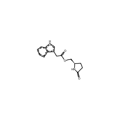 O=C1CC[C@H](COC(=O)Cc2c[nH]c3ccccc23)N1